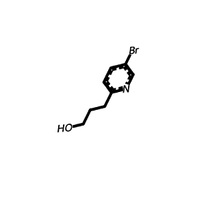 OCCCc1ccc(Br)cn1